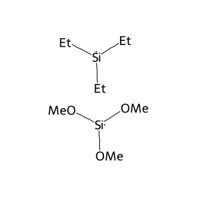 CC[Si](CC)CC.CO[Si](OC)OC